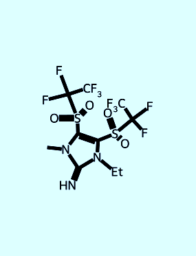 CCn1c(S(=O)(=O)C(F)(F)C(F)(F)F)c(S(=O)(=O)C(F)(F)C(F)(F)F)n(C)c1=N